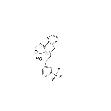 O[C@H](CNCc1ccccc1N1CCOCC1)c1cccc(C(F)(F)F)c1